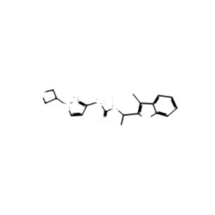 Cc1c(C(C)NC(=O)Nc2ccn(C3COC3)n2)oc2ccccc12